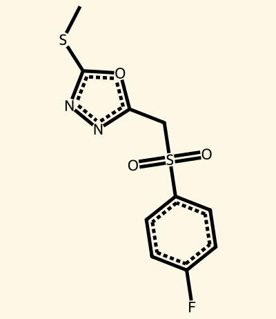 CSc1nnc(CS(=O)(=O)c2ccc(F)cc2)o1